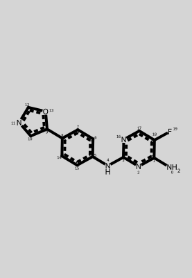 Nc1nc(Nc2ccc(-c3cnco3)cc2)ncc1F